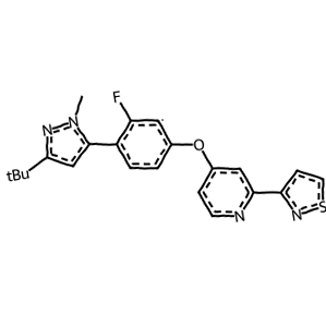 Cn1nc(C(C)(C)C)cc1-c1ccc(Oc2ccnc(-c3ccsn3)c2)[c]c1F